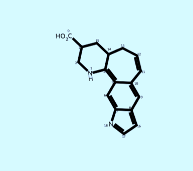 O=C(O)C1CNC2=c3cc4c(cc3C=CCC2C1)=CC=N4